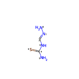 NN=CNC(N)=S